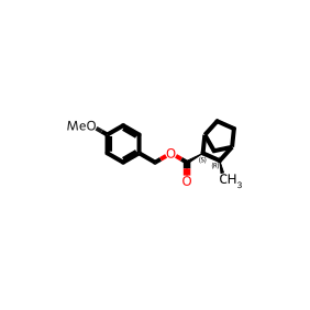 COc1ccc(COC(=O)[C@H]2C3CCC(C3)[C@H]2C)cc1